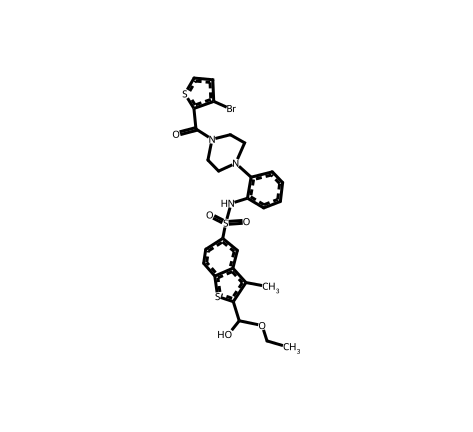 CCOC(O)c1sc2ccc(S(=O)(=O)Nc3ccccc3N3CCN(C(=O)c4sccc4Br)CC3)cc2c1C